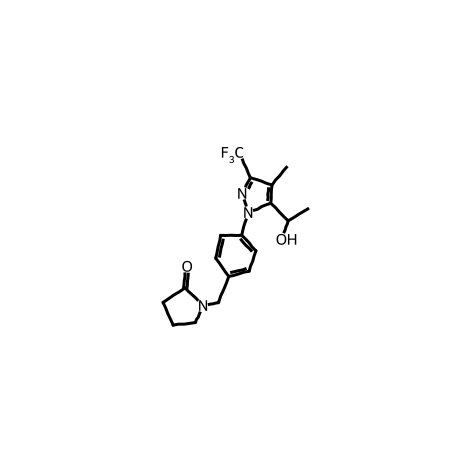 Cc1c(C(F)(F)F)nn(-c2ccc(CN3CCCC3=O)cc2)c1C(C)O